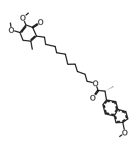 COC1=C(OC)C(=O)C(CCCCCCCCCCOC(=O)[C@H](C)c2ccc3cc(OC)ccc3c2)=C(C)C1